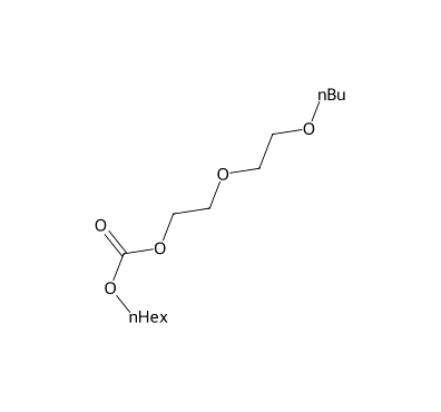 CCCCCCOC(=O)OCCOCCOCCCC